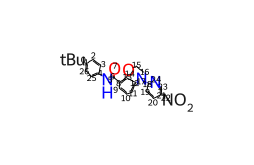 CC(C)(C)c1ccc(NC(=O)c2cccc3c2OCCN3c2ccc([N+](=O)[O-])cn2)cc1